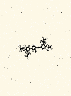 C=C(C)C(=O)Oc1ccc(C#Cc2ccc(-c3ccc(OC(=O)C(=C)C)c(OC(=O)C(=C)C)c3)cc2F)cc1OC(=O)C(=C)C